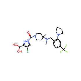 CN(Cc1ccc(C(F)(F)F)cc1N1CCCC1)C1(C)CCN(C(=O)n2cc(Cl)c(C(O)O)n2)CC1